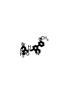 COc1cccc(-c2ccc(CNC(=O)c3cc(Br)cnc3C(F)(F)F)c3cnccc23)c1